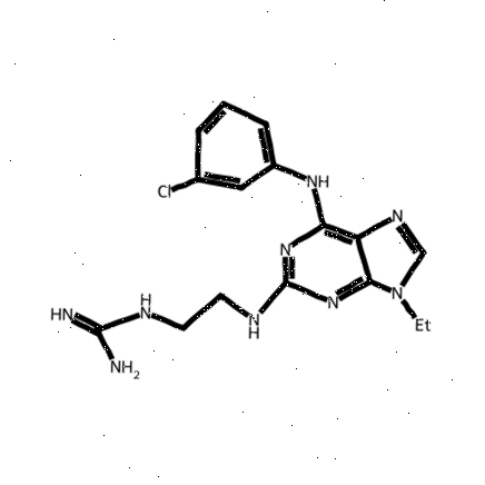 CCn1cnc2c(Nc3cccc(Cl)c3)nc(NCCNC(=N)N)nc21